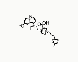 COc1ccc2nccc([C@@H](F)CC[C@@H]3CCN(CCCc4ccc(C)s4)C[C@@H]3C(=O)O)c2c1